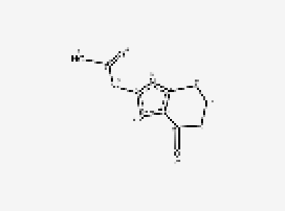 O=C(O)Nc1nc2c(s1)C(=O)CCC2